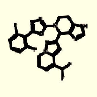 Fc1cccc(F)c1-c1nnc(N2CCc3[nH]cnc3C2c2cc3c(C(F)F)cccn3n2)o1